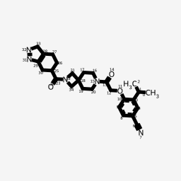 CC(C)c1cc(C#N)ccc1OCC(=O)N1CCC2(CC1)CN(C(=O)C1CCC3=C(C1)N=NC3)C2